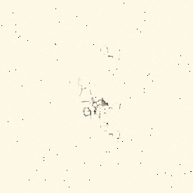 COC(=O)CCCCCCNC(=O)[C@H](COC1CCCCO1)NS(=O)(=O)c1ccc(Cl)cc1